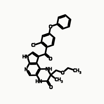 CCOCC1(C)Nc2c(cnc3[nH]cc(C(=O)c4ccc(Oc5ccccc5)cc4Cl)c23)NC1=O